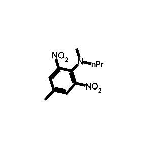 CCCN(C)c1c([N+](=O)[O-])cc(C)cc1[N+](=O)[O-]